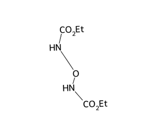 CCOC(=O)NONC(=O)OCC